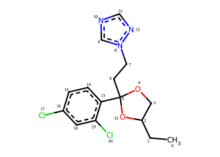 CCC1COC(CCn2cncn2)(c2ccc(Cl)cc2Cl)O1